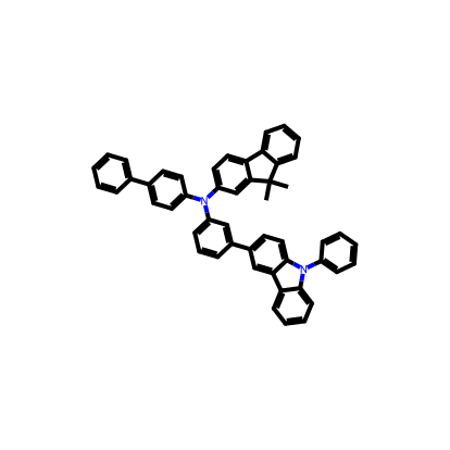 CC1(C)c2ccccc2-c2ccc(N(c3ccc(-c4ccccc4)cc3)c3cccc(-c4ccc5c(c4)c4ccccc4n5-c4ccccc4)c3)cc21